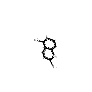 Cc1nccc2nc(N)ccc12